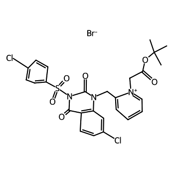 CC(C)(C)OC(=O)C[n+]1ccccc1Cn1c(=O)n(S(=O)(=O)c2ccc(Cl)cc2)c(=O)c2ccc(Cl)cc21.[Br-]